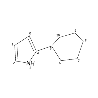 [c]1cc[nH]c1C1CCCCC1